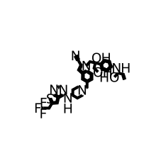 C=CC(O)Nc1ccc(C(O)(CO)Cn2c(C#N)cc3cc(CN4CCC(Nc5ncnc6sc(CC(F)(F)F)cc56)CC4)ccc32)cc1